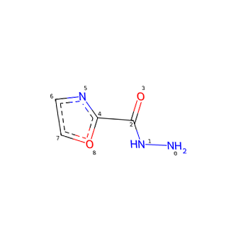 NNC(=O)c1ncco1